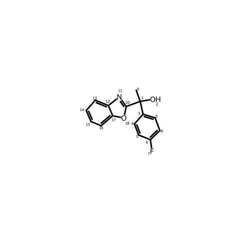 CC(O)(c1ccc(F)cc1)c1nc2ccccc2o1